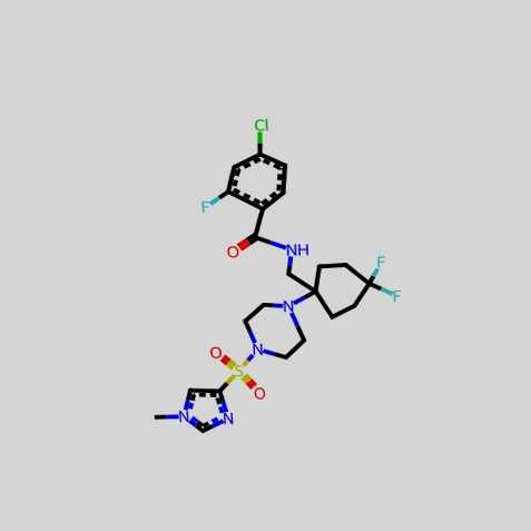 Cn1cnc(S(=O)(=O)N2CCN(C3(CNC(=O)c4ccc(Cl)cc4F)CCC(F)(F)CC3)CC2)c1